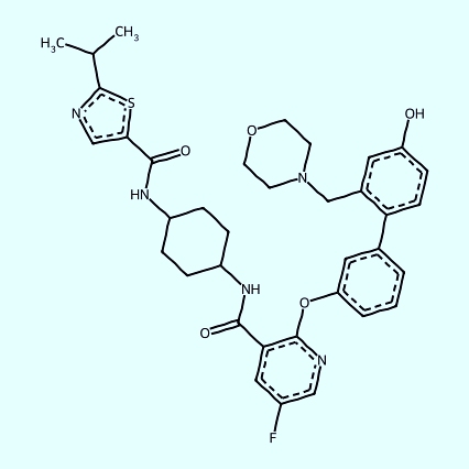 CC(C)c1ncc(C(=O)NC2CCC(NC(=O)c3cc(F)cnc3Oc3cccc(-c4ccc(O)cc4CN4CCOCC4)c3)CC2)s1